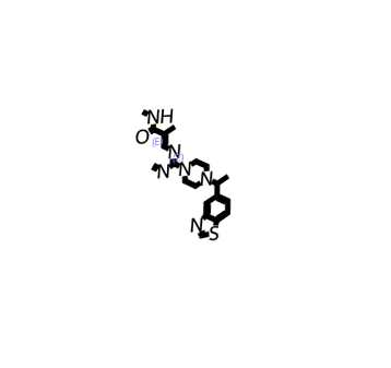 C=N/C(=N\C=C(/C)C(=O)NC)N1CCN(C(C)c2ccc3scnc3c2)CC1